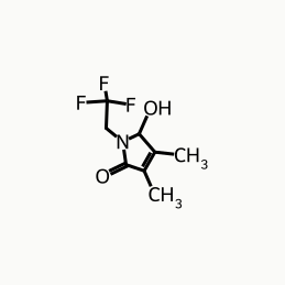 CC1=C(C)C(O)N(CC(F)(F)F)C1=O